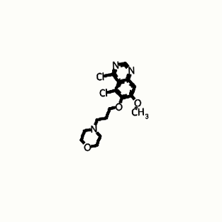 COc1cc2ncnc(Cl)c2c(Cl)c1OCCCN1CCOCC1